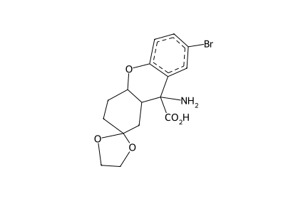 NC1(C(=O)O)c2cc(Br)ccc2OC2CCC3(CC21)OCCO3